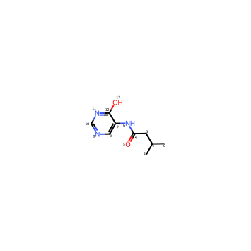 CC(C)CC(=O)Nc1cncnc1O